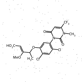 COC(=CC(=O)O)C(C)Oc1cc(-n2c(=O)cc(C(F)(F)F)n(C)c2=O)c(Cl)cc1Cl